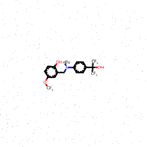 CCCCN(Cc1cc(OC(F)(F)F)ccc1O)c1ccc(C(O)(C(F)(F)F)C(F)(F)F)cc1